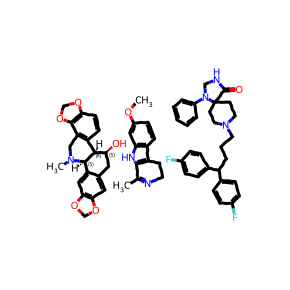 CN1Cc2c(ccc3c2OCO3)[C@@H]2[C@H]1c1cc3c(cc1C[C@@H]2O)OCO3.COc1ccc2c3c([nH]c2c1)C(C)=NCC3.O=C1NCN(c2ccccc2)C12CCN(CCCC(c1ccc(F)cc1)c1ccc(F)cc1)CC2